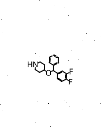 Fc1ccc(C(OC2CCNCC2)c2ccccc2)cc1F